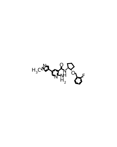 Cn1cc(-c2cnc(N)c(C(=O)N[C@H]3CCC[C@@H]3OCc3ccccc3F)c2)cn1